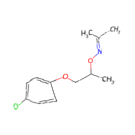 CC(C)=NOC(C)COc1ccc(Cl)cc1